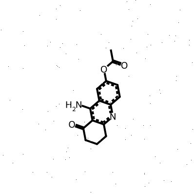 CC(=O)Oc1ccc2nc3c(c(N)c2c1)C(=O)CCC3